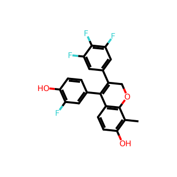 Cc1c(O)ccc2c1OCC(c1cc(F)c(F)c(F)c1)=C2c1ccc(O)c(F)c1